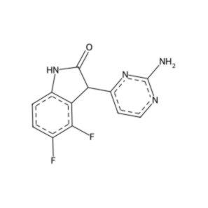 Nc1nccc(C2C(=O)Nc3ccc(F)c(F)c32)n1